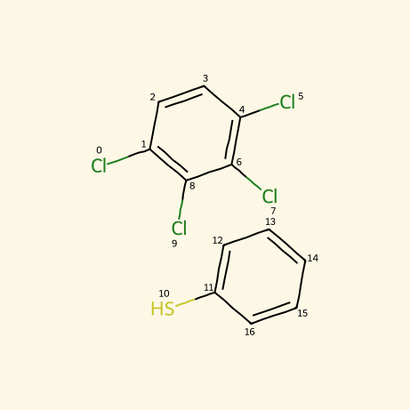 Clc1ccc(Cl)c(Cl)c1Cl.Sc1ccccc1